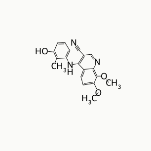 COc1ccc2c(Nc3cccc(O)c3C)c(C#N)cnc2c1OC